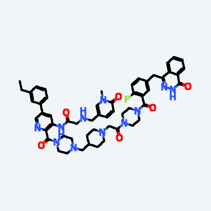 CCc1cccc(-c2cnc(C(=O)N3CCN(CC4CCN(CC(=O)N5CCN(C(=O)c6cc(Cc7n[nH]c(=O)c8ccccc78)ccc6F)CC5)CC4)CC3)c(NC(=O)CNCc3ccc(=O)n(C)c3)c2)c1